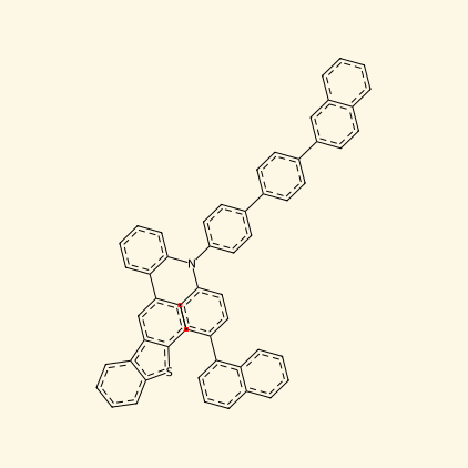 c1ccc(N(c2ccc(-c3ccc(-c4ccc5ccccc5c4)cc3)cc2)c2ccc(-c3cccc4ccccc34)cc2)c(-c2ccc3sc4ccccc4c3c2)c1